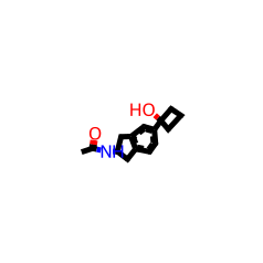 CC(=O)NC1Cc2ccc(C3(O)CCC3)cc2C1